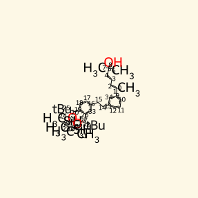 CC(=CC=CC(C)(C)O)c1cccc(CCc2ccc(C(O[SiH](C)C)C(C)(C)C)c(C(O[SiH](C)C)C(C)(C)C)c2)c1